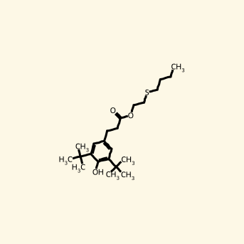 CCCCSCCOC(=O)CCc1cc(C(C)(C)C)c(O)c(C(C)(C)C)c1